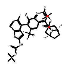 CC(C)(C)OC(=O)Nc1cc2c(-c3c(C(F)(F)F)cc4c(N5C[C@H]6CC[C@@H](C5)N6C(=O)OC(C)(C)C)nc(F)nc4c3F)c(F)ccc2s1